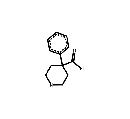 CCC(=O)C1(c2ccccc2)CC[N]CC1